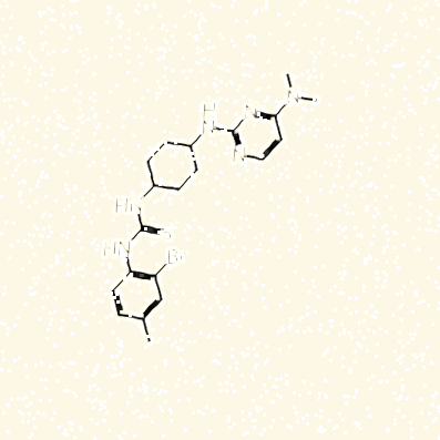 Cc1ccc(NC(=S)NC2CCC(Nc3nccc(N(C)C)n3)CC2)c(Br)c1